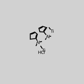 Cl.[CH3][Al]([CH3])[C]1=CC=CC1.[CH3][Al]([CH3])[C]1=CC=CC1.[CH3][Ti].[CH3][Ti]